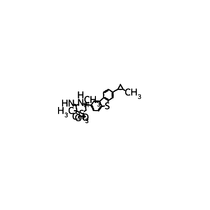 CC1CC1c1ccc2c(c1)sc1ccc([C@]3(C)CS(=O)(=O)C(C)(C)C(=N)N3)cc12